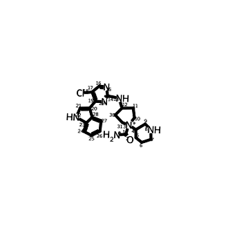 NC(=O)[N+]1(C2CCCNC2)CCC(Nc2ncc(Cl)c(-c3c[nH]c4ccccc34)n2)CC1